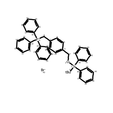 CC(C)(C)[Si](OCc1ccc(C[P+](c2ccccc2)(c2ccccc2)c2ccccc2)cc1)(c1ccccc1)c1ccccc1.[Br-]